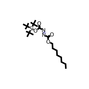 CCCCCCCCOC(=O)/N=N/C(=O)O[Si](C(C)(C)C)(C(C)(C)C)C(C)(C)C